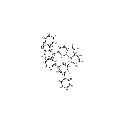 CC1(C)c2ccc(-c3cccc4oc5ccccc5c34)cc2-c2c(-c3nc(-c4ccccc4)nc(-c4ccccc4)n3)cccc21